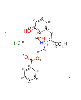 Cl.O=C(OCCN[C@@H](Cc1cccc(O)c1O)C(=O)O)c1ccccc1